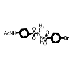 CC(=O)Nc1ccc(S(=O)(=O)N(C)NS(=O)(=O)c2ccc(Br)cc2)cc1